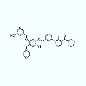 Cc1c(COc2cc(OCc3cncc(C#N)c3)c(CN3CCOCC3)cc2Cl)cccc1-c1cccc(C(=O)N2CCOCC2)c1C